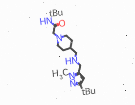 Cn1nc(C(C)(C)C)cc1CNCC1CCN(CC(=O)NC(C)(C)C)CC1